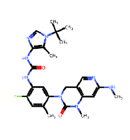 CNc1cc2c(cn1)CN(c1cc(NC(=O)Nc3ncn(C(C)(C)C)c3C)c(F)cc1C)C(=O)N2C